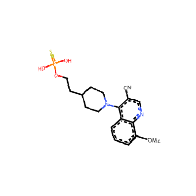 COc1cccc2c(N3CCC(CCOP(O)(O)=S)CC3)c(C#N)cnc12